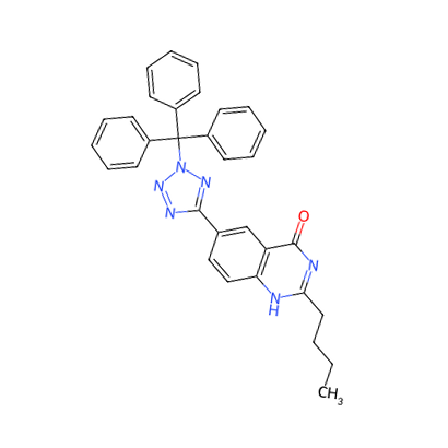 CCCCc1nc(=O)c2cc(-c3nnn(C(c4ccccc4)(c4ccccc4)c4ccccc4)n3)ccc2[nH]1